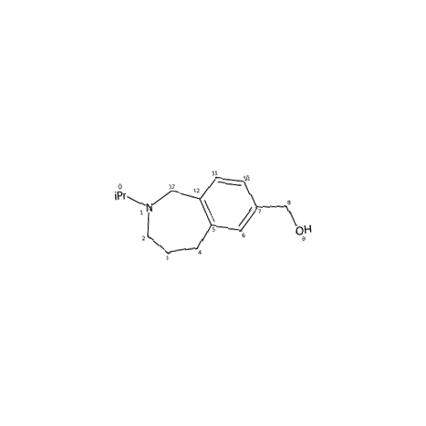 CC(C)N1CCCc2cc(CO)ccc2C1